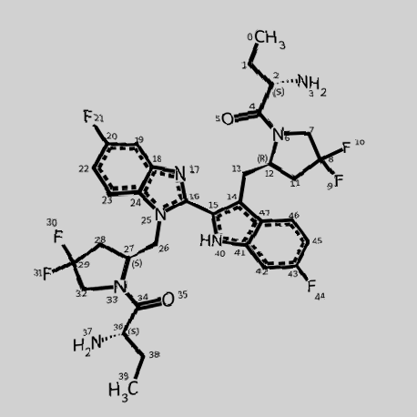 CC[C@H](N)C(=O)N1CC(F)(F)C[C@H]1Cc1c(-c2nc3cc(F)ccc3n2C[C@@H]2CC(F)(F)CN2C(=O)[C@@H](N)CC)[nH]c2cc(F)ccc12